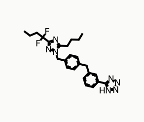 CCCCc1nc(C(F)(F)CCC)nn1Cc1ccc(Cc2cccc(-c3nnn[nH]3)c2)cc1